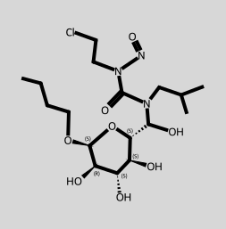 CCCCO[C@H]1O[C@H](C(O)N(CC(C)C)C(=O)N(CCCl)N=O)[C@@H](O)[C@H](O)[C@H]1O